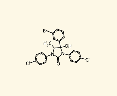 CC1N(c2ccc(Cl)cc2)C(=O)N(c2ccc(Cl)cc2)C1(O)c1cccc(Br)c1